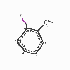 FC(F)(F)c1ccccc1I